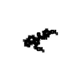 CSc1sc(C(=O)Nc2ccn(C)n2)c2c1-c1sncc1CC2